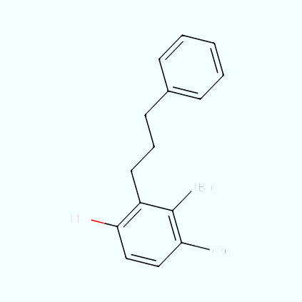 CC(C)(C)c1ccc(O)c(CCCc2ccccc2)c1C(C)(C)C